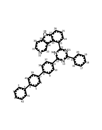 c1ccc(-c2ccc(-c3ccc(-c4nc(-c5ccccc5)nc(-c5cccc6oc7ccncc7c56)n4)cc3)cc2)cc1